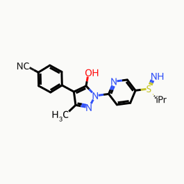 Cc1nn(-c2ccc([S@](=N)C(C)C)cn2)c(O)c1-c1ccc(C#N)cc1